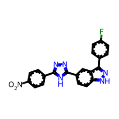 O=[N+]([O-])c1ccc(-c2nnc(-c3ccc4[nH]nc(-c5ccc(F)cc5)c4c3)[nH]2)cc1